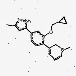 Cc1cc(-c2ccc(C3=CC=CN(C)C3)c(OCC3CC3)c2)[nH]n1